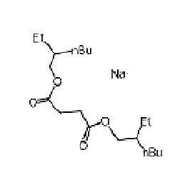 CCCCC(CC)COC(=O)CCC(=O)OCC(CC)CCCC.[Na]